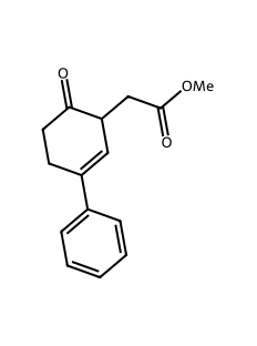 COC(=O)CC1C=C(c2ccccc2)CCC1=O